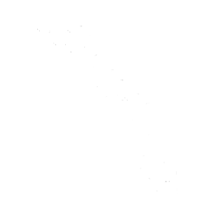 O=[N+]([O-])c1cn2c(n1)OC(COc1ccc(N3CCC(CCOc4cccc(C(F)(F)F)c4)CC3)cc1)CC2